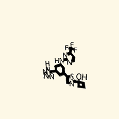 OC1(c2ncc(-c3cc(Nc4nccc(C(F)(F)F)n4)cc(-c4nnn[nH]4)c3)s2)CCC1